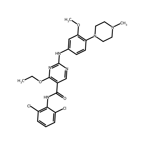 CCOc1nc(Nc2ccc(N3CCN(C)CC3)c(OC)c2)ncc1C(=O)Nc1c(Cl)cccc1Cl